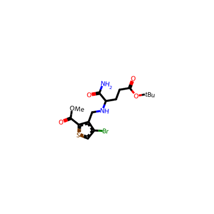 COC(=O)c1scc(Br)c1CNC(CCC(=O)OC(C)(C)C)C(N)=O